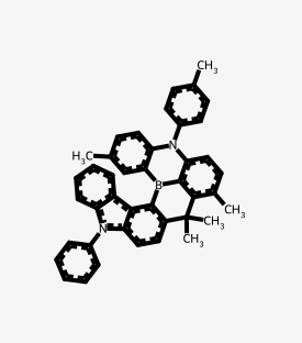 Cc1ccc(N2c3ccc(C)cc3B3c4c2ccc(C)c4C(C)(C)c2ccc4c(c23)c2ccccc2n4-c2ccccc2)cc1